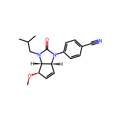 CO[C@@H]1C=C[C@@H]2[C@H]1N(CC(C)C)C(=O)N2c1ccc(C#N)cc1